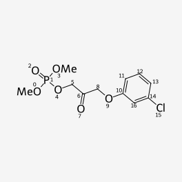 COP(=O)(OC)OCC(=O)COc1cccc(Cl)c1